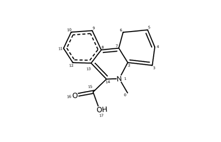 CN1C2=CC=CCC2=c2ccccc2=C1C(=O)O